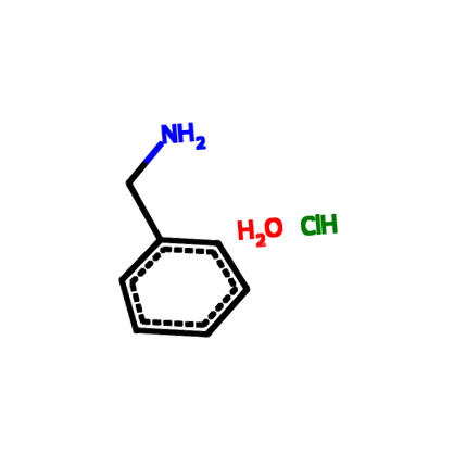 Cl.NCc1ccccc1.O